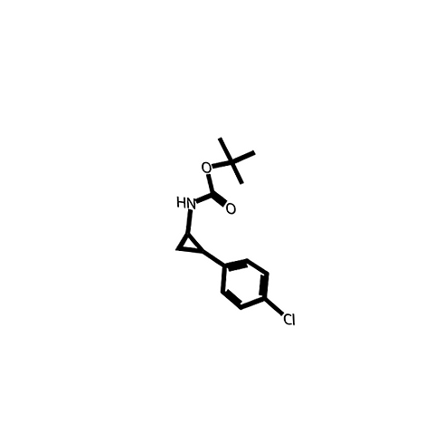 CC(C)(C)OC(=O)NC1CC1c1ccc(Cl)cc1